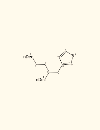 CCCCCCCCCCCCC(CCCCCCCCCC)Cc1[c]scc1